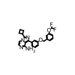 Nc1nccn2c(C3CCC3)nc(-c3cccc(OCc4cccc(OC(F)F)c4)c3)c12